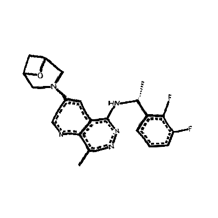 Cc1nnc(N[C@H](C)c2cccc(F)c2F)c2cc(N3CC4CC(C3)O4)cnc12